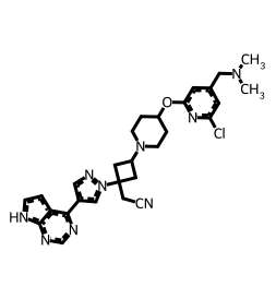 CN(C)Cc1cc(Cl)nc(OC2CCN(C3CC(CC#N)(n4cc(-c5ncnc6[nH]ccc56)cn4)C3)CC2)c1